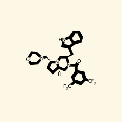 O=C(c1cc(C(F)(F)F)cc(C(F)(F)F)c1)N1C[C@H]2CC[C@H](CN3CCOCC3)N2C[C@H]1Cc1c[nH]c2ccccc12